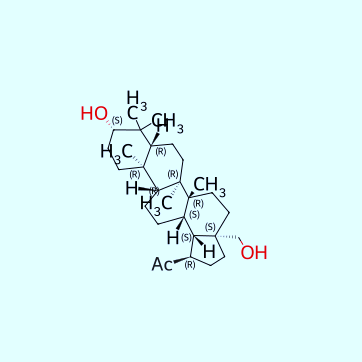 CC(=O)[C@@H]1CC[C@]2(CO)CC[C@]3(C)[C@@H](CC[C@@H]4[C@@]5(C)CC[C@H](O)C(C)(C)[C@@H]5CC[C@]43C)[C@@H]12